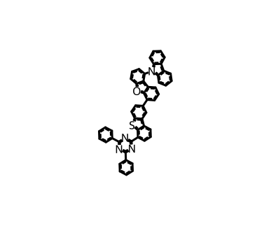 c1ccc(-c2nc(-c3ccccc3)nc(-c3cccc4c3sc3ccc(-c5cccc6c5oc5cccc(-n7c8ccccc8c8ccccc87)c56)cc34)n2)cc1